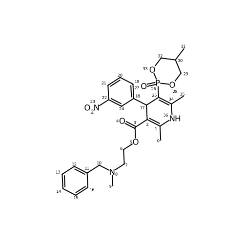 CC1=C(C(=O)OCCN(C)Cc2ccccc2)C(c2cccc([N+](=O)[O-])c2)C(P2(=O)OCC(C)CO2)=C(C)N1